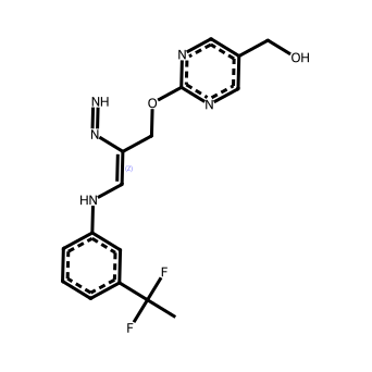 CC(F)(F)c1cccc(N/C=C(/COc2ncc(CO)cn2)N=N)c1